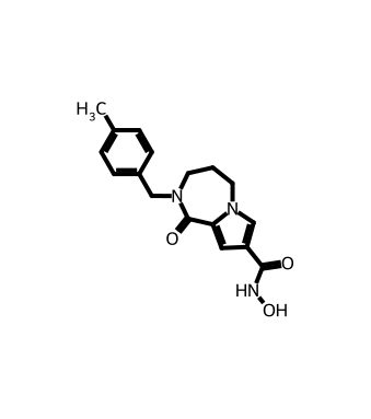 Cc1ccc(CN2CCCn3cc(C(=O)NO)cc3C2=O)cc1